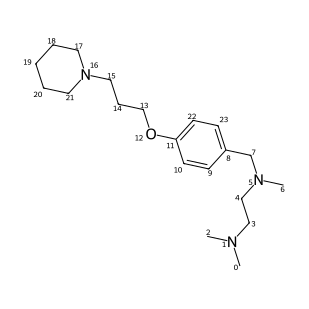 CN(C)CCN(C)Cc1ccc(OCCCN2CCCCC2)cc1